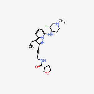 CN1CC[C@@H](Nc2cccc3c(CC(F)(F)F)c(C#CCNC(=O)[C@@H]4CCOC4)nn23)[C@@H](F)C1